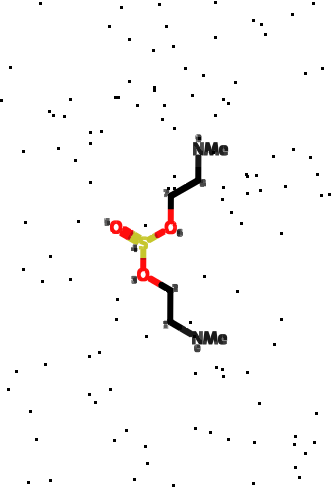 CNCCOS(=O)OCCNC